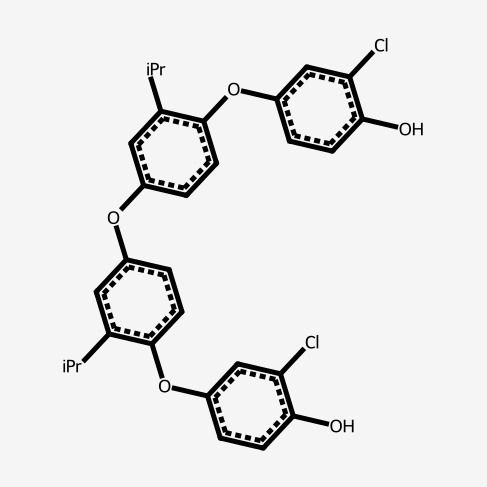 CC(C)c1cc(Oc2ccc(Oc3ccc(O)c(Cl)c3)c(C(C)C)c2)ccc1Oc1ccc(O)c(Cl)c1